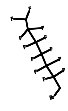 FC(F)C(F)(F)C(F)(F)C(F)(F)C(F)(F)C(F)(F)CBr